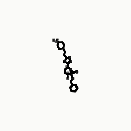 CC1CCN(CCc2nnc([C@@H]3CC[C@@H]4CN3C(=O)N4OCc3ccccc3)o2)CC1